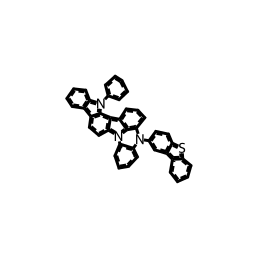 c1ccc(-n2c3ccccc3c3ccc4c(c5cccc6c5n4-c4ccccc4N6c4ccc5sc6ccccc6c5c4)c32)cc1